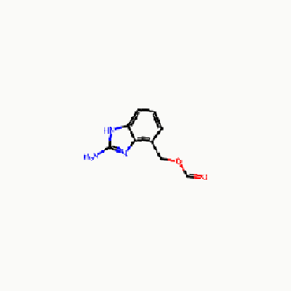 Nc1nc2c(COC=O)cccc2[nH]1